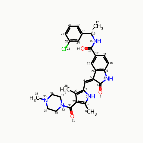 Cc1[nH]c(C=C2C(=O)Nc3ccc(C(=O)N[C@@H](C)c4cccc(Cl)c4)cc32)c(C)c1C(=O)N1CCN(C)CC1